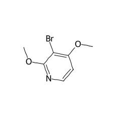 COc1ccnc(OC)c1Br